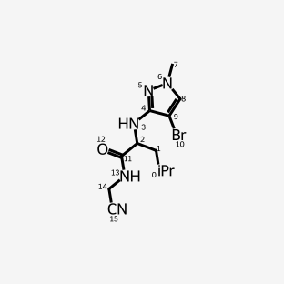 CC(C)CC(Nc1nn(C)cc1Br)C(=O)NCC#N